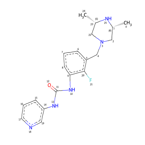 C[C@@H]1CN(Cc2cccc(NC(=O)Nc3cccnc3)c2F)C[C@H](C)N1